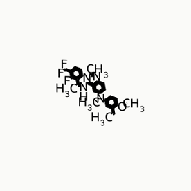 CCc1cc(N(C)c2ccc3nc(C)nc(NC(C)c4cccc(C(F)F)c4F)c3c2)ccc1OC